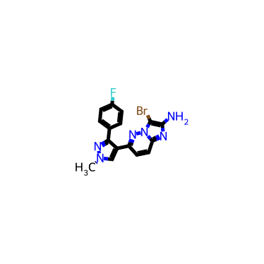 Cn1cc(-c2ccc3nc(N)c(Br)n3n2)c(-c2ccc(F)cc2)n1